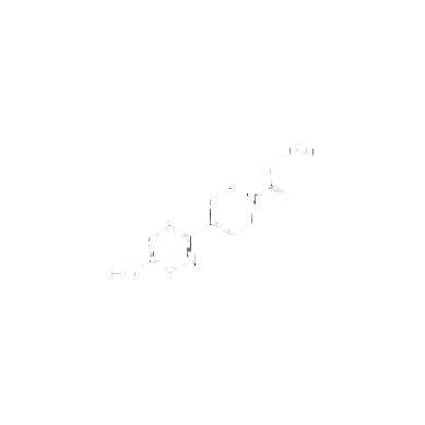 CC(C)(C)OC(=O)N1CC=C(c2ccc(O)cn2)CC1